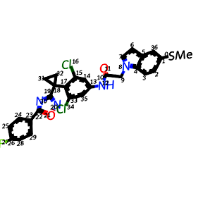 CSc1ccc2c(ccn2CC(=O)Nc2cc(Cl)c(C3(c4noc(-c5ccc(F)cc5)n4)CC3)c(Cl)c2)c1